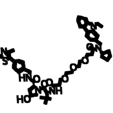 CCn1c2ccccc2c2ccc(CN(C(=O)CCOCCOCCOCCC(=O)N[C@H](C(=O)N3C[C@H](O)C[C@H]3C(=O)NCc3ccc(-c4scnc4C)cc3)C(C)(C)C)C3CCCC3)cc21